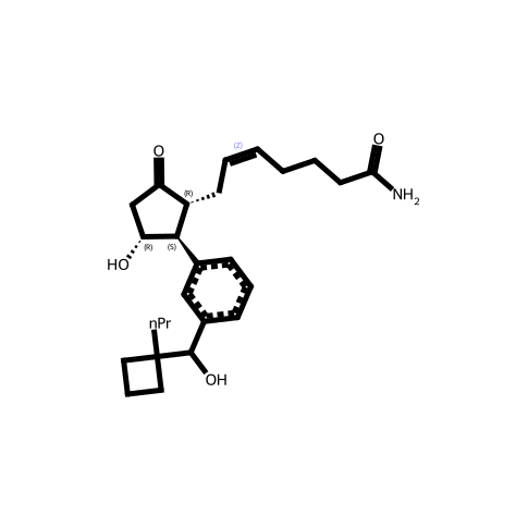 CCCC1(C(O)c2cccc([C@H]3[C@H](O)CC(=O)[C@@H]3C/C=C\CCCC(N)=O)c2)CCC1